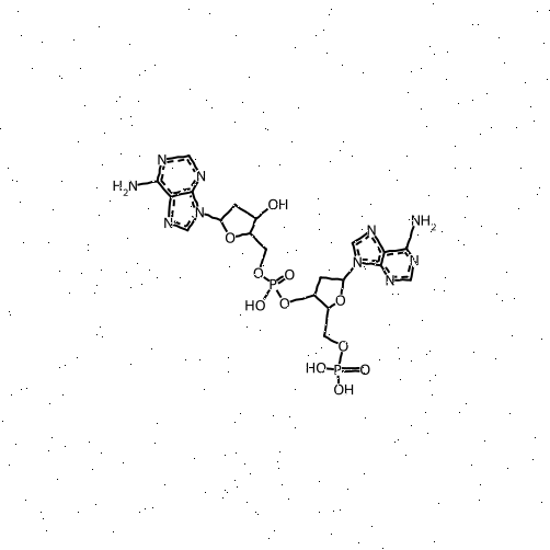 Nc1ncnc2c1ncn2C1CC(O)C(COP(=O)(O)OC2CC(n3cnc4c(N)ncnc43)OC2COP(=O)(O)O)O1